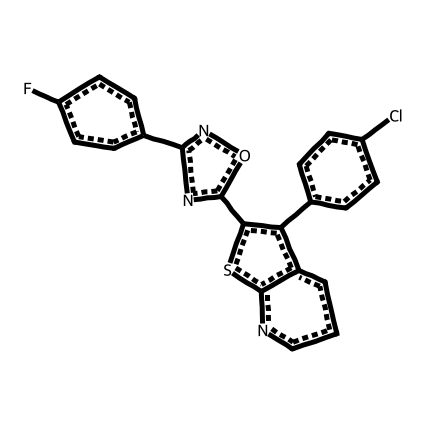 Fc1ccc(-c2noc(-c3sc4ncccc4c3-c3ccc(Cl)cc3)n2)cc1